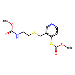 CC(C)(C)OC(=O)NCCSCc1cnccc1SC(=O)OC(C)(C)C